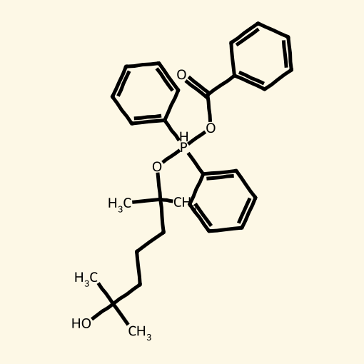 CC(C)(O)CCCC(C)(C)O[PH](OC(=O)c1ccccc1)(c1ccccc1)c1ccccc1